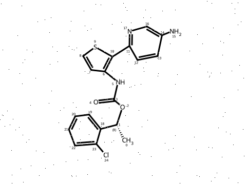 C[C@@H](OC(=O)Nc1ccsc1-c1ccc(N)cn1)c1ccccc1Cl